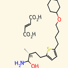 C[C@H](CCc1ccc(CCCCOC2CCCCC2)s1)C(N)O.O=C(O)C=CC(=O)O